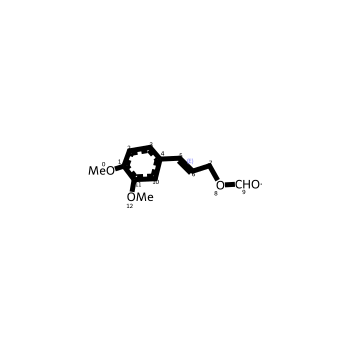 COc1ccc(/C=C/CO[C]=O)cc1OC